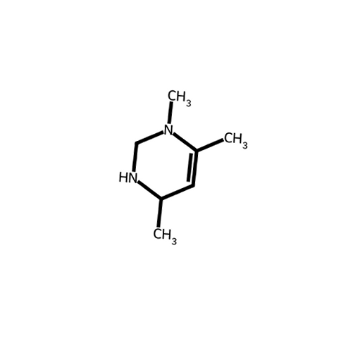 CC1=CC(C)NCN1C